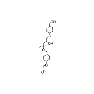 CCC(C)(CC(O)COC1CCC(CO)CC1)OCC1CCC(OCC2CO2)CC1